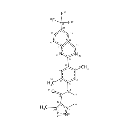 Cc1cc(N2CCn3ncc(C)c3C2=O)c(C)cc1-c1ncc2cc(C(F)(F)F)ccc2n1